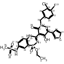 CCOP1(=O)N=C(c2c(O)c(-c3ccsc3)nn(Cc3ccc(F)c(Cl)c3)c2=O)Nc2ccc(NS(C)(=O)=O)cc21